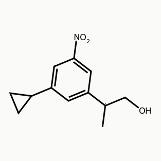 C[C](CO)c1cc(C2CC2)cc([N+](=O)[O-])c1